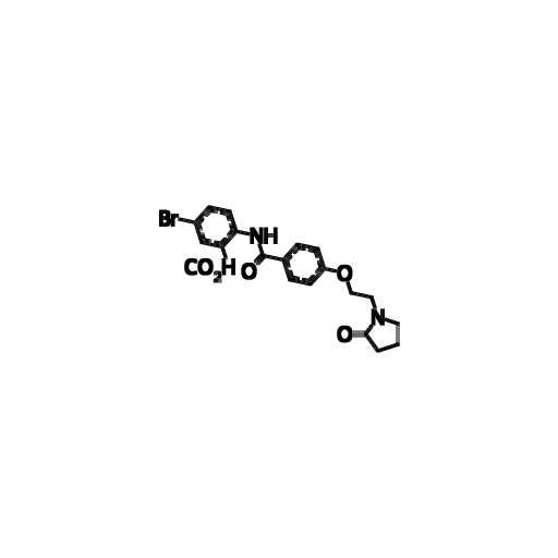 O=C(Nc1ccc(Br)cc1C(=O)O)c1ccc(OCCN2CCCC2=O)cc1